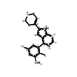 Cc1c(N)cc(F)cc1-c1ncnc2[nH]c(C3=CCSCC3)cc12